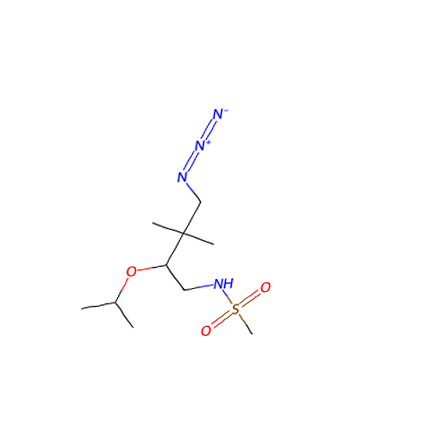 CC(C)OC(CNS(C)(=O)=O)C(C)(C)CN=[N+]=[N-]